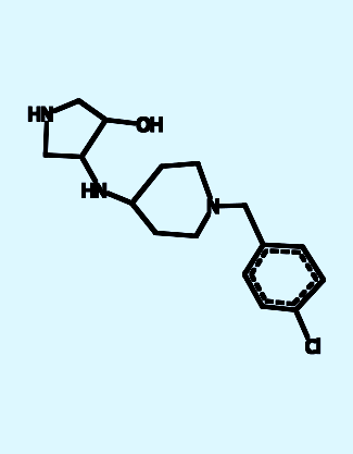 OC1CNCC1NC1CCN(Cc2ccc(Cl)cc2)CC1